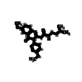 COc1ccc(-n2c([CH]C(=O)NCCN(C)C)nc3ccc(OC)cc3c2=O)cc1